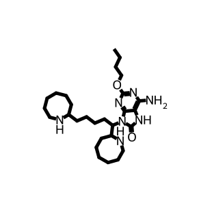 CCCCOc1nc(N)c2[nH]c(=O)n(C(CCCCC3CCCCCCN3)C3CCCCCCN3)c2n1